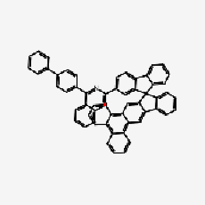 c1ccc(-c2ccc(-c3nc(-c4ccc5c(c4)C4(c6ccccc6-5)c5ccccc5-c5cc6c7ccccc7c7ccccc7c6cc54)nc4ccccc34)cc2)cc1